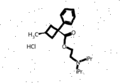 CC(C)N(CCOC(=O)[C@]1(c2ccccc2)C[C@H](C)C1)C(C)C.Cl